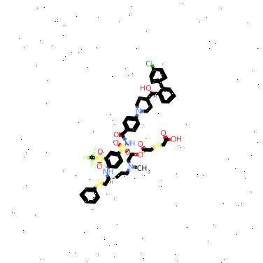 CN(CCC[C@H](CSc1ccccc1)Nc1ccc(S(=O)(=O)NC(=O)c2ccc(N3CCC([C@@H](O)c4ccccc4-c4ccc(Cl)cc4)CC3)cc2)cc1S(=O)(=O)C(F)(F)F)CCOC(=O)CSCC(=O)O